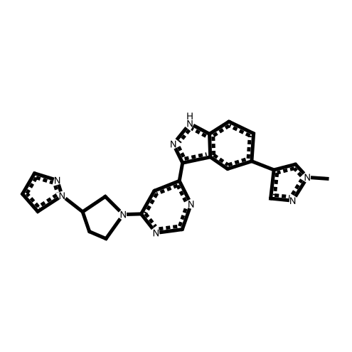 Cn1cc(-c2ccc3[nH]nc(-c4cc(N5CCC(n6cccn6)C5)ncn4)c3c2)cn1